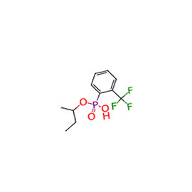 CCC(C)OP(=O)(O)c1ccccc1C(F)(F)F